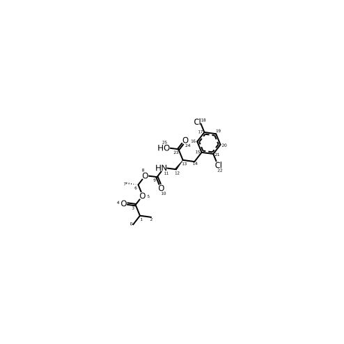 CC(C)C(=O)O[C@H](C)OC(=O)NC[C@H](Cc1cc(Cl)ccc1Cl)C(=O)O